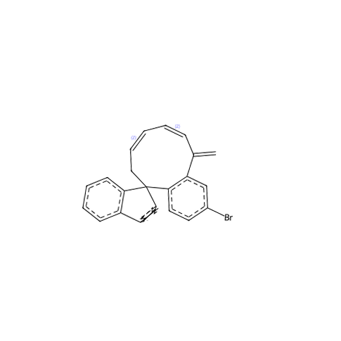 C=C1/C=C\C=C/CC2(c3ccc(Br)cc31)c1ccccc1-c1ccccc12